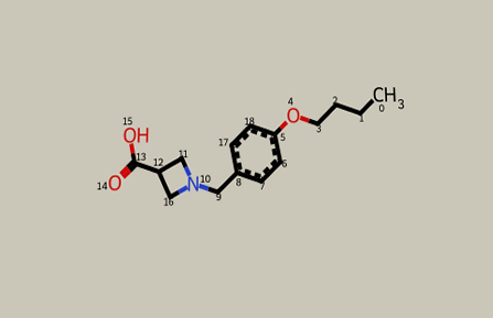 CCCCOc1ccc(CN2CC(C(=O)O)C2)cc1